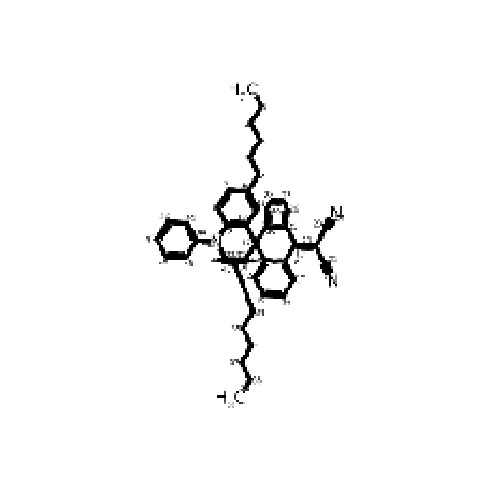 CCCCCCc1ccc2c(c1)C1(c3ccccc3C(=C(C#N)C#N)c3ccccc31)c1cc(CCCCCC)ccc1N2c1ccccc1